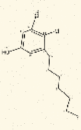 CCCCCCCc1cc(O)cc(Cl)c1Cl